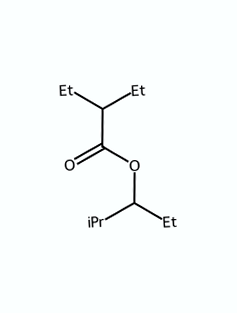 CCC(CC)C(=O)OC(CC)C(C)C